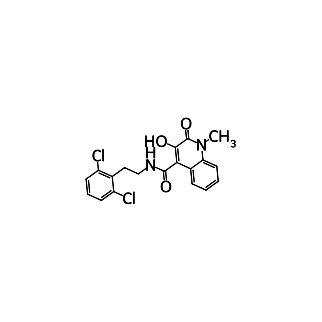 Cn1c(=O)c(O)c(C(=O)NCCc2c(Cl)cccc2Cl)c2ccccc21